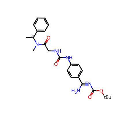 C[C@@H](c1ccccc1)N(C)C(=O)CNC(=O)Nc1ccc(/C(N)=N/C(=O)OC(C)(C)C)cc1